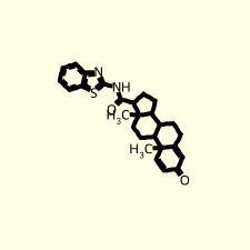 CC12C=CC(=O)C=C1CCC1C2CCC2(C)C(C(=O)Nc3nc4ccccc4s3)CCC12